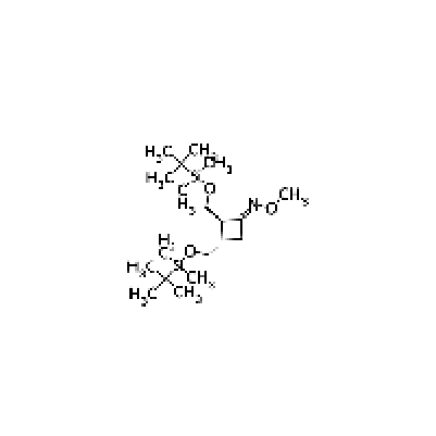 CON=C1C[C@H](CO[Si](C)(C)C(C)(C)C)[C@H]1CO[Si](C)(C)C(C)(C)C